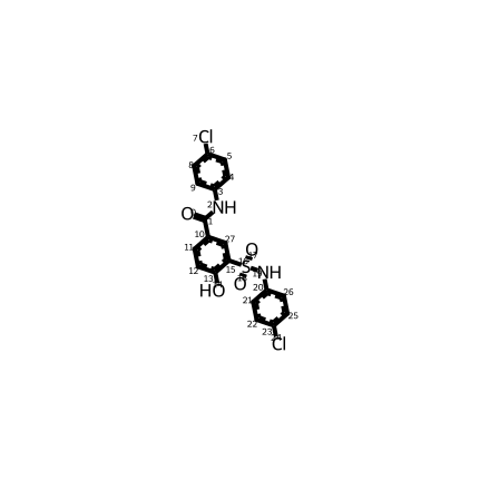 O=C(Nc1ccc(Cl)cc1)c1ccc(O)c(S(=O)(=O)Nc2ccc(Cl)cc2)c1